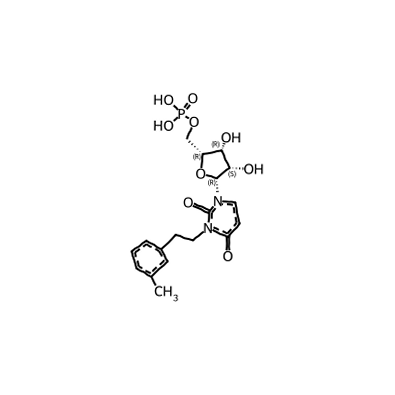 Cc1cccc(CCn2c(=O)ccn([C@@H]3O[C@H](COP(=O)(O)O)[C@H](O)[C@@H]3O)c2=O)c1